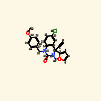 C#CC1(c2ccco2)c2cc(Cl)ccc2N(Cc2ccc(OC)cc2)C(=O)N1C